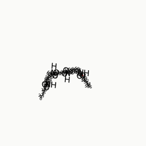 CC(C)=CCC/C(C)=C/COC(=O)Nc1ccc(Cc2ccc(NC(=O)OCCCCOC(=O)Nc3ccc(Cc4ccc(NC(=O)OC/C=C(\C)CCC=C(C)C)cc4)cc3)cc2)cc1